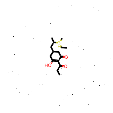 CCC(=O)C1=C(O)CC(CC(C)[SH](C)CC)CC1=O